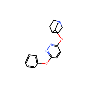 c1ccc(Oc2ccc(OC3CN4CCC3CC4)nn2)cc1